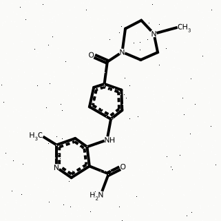 Cc1cc(Nc2ccc(C(=O)N3CCN(C)CC3)cc2)c(C(N)=O)cn1